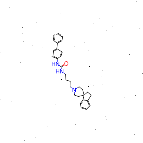 O=C(NCCCCN1CCC2(CCc3ccccc32)CC1)Nc1ccc(-c2ccccc2)cc1